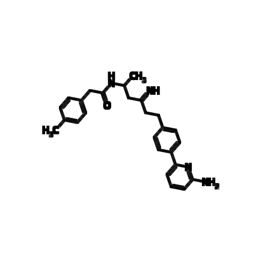 Cc1ccc(CC(=O)NC(C)CC(=N)CCc2ccc(-c3cccc(N)n3)cc2)cc1